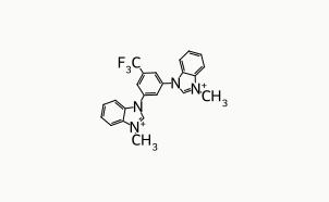 C[n+]1cn(-c2cc(-n3c[n+](C)c4ccccc43)cc(C(F)(F)F)c2)c2ccccc21